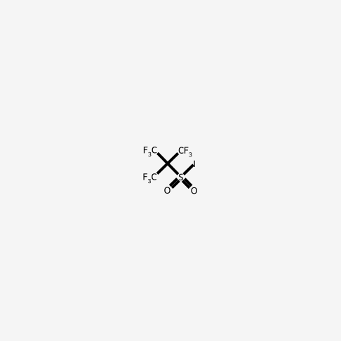 O=S(=O)(I)C(C(F)(F)F)(C(F)(F)F)C(F)(F)F